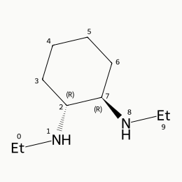 CCN[C@@H]1CCCC[C@H]1NCC